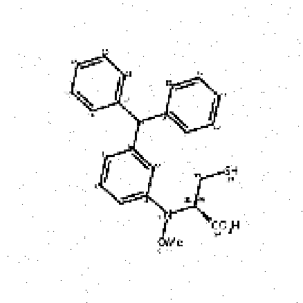 CON(c1cccc(C(c2ccccc2)c2ccccc2)c1)[C@@H](CS)C(=O)O